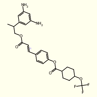 CC(COC(=O)/C=C/c1ccc(OC(=O)C2CCC(OC(F)(F)F)CC2)cc1)c1cc(N)cc(N)c1